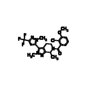 COc1cccc(C(=O)N2CCc3c(nn(C)c3-c3cc(C(F)(F)F)nn3C)C2C)c1Cl